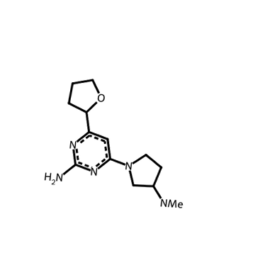 CNC1CCN(c2cc(C3CCCO3)nc(N)n2)C1